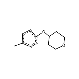 Cc1ccc(OC2CCOCC2)nn1